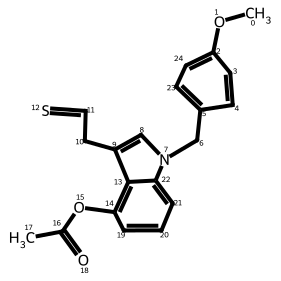 COc1ccc(Cn2cc(CC=S)c3c(OC(C)=O)cccc32)cc1